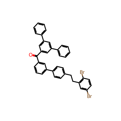 O=C(c1cccc(-c2ccc(CCc3cc(Br)ccc3Br)cc2)c1)c1cc(-c2ccccc2)cc(-c2ccccc2)c1